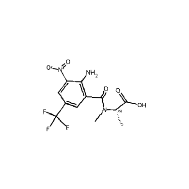 C[C@@H](C(=O)O)N(C)C(=O)c1cc(C(F)(F)F)cc([N+](=O)[O-])c1N